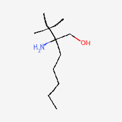 CCCCCC(N)(CO)C(C)(C)C